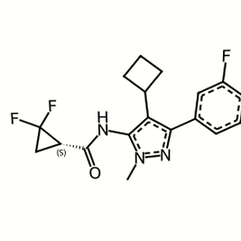 Cn1nc(-c2cccc(F)c2)c(C2CCC2)c1NC(=O)[C@@H]1CC1(F)F